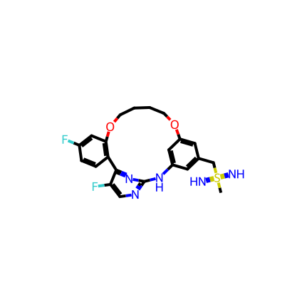 CS(=N)(=N)Cc1cc2cc(c1)OCCCCOc1cc(F)ccc1-c1nc(ncc1F)N2